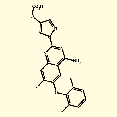 Cc1cccc(C)c1Oc1cc2c(N)nc(-n3cc(OC(=O)O)cn3)nc2cc1F